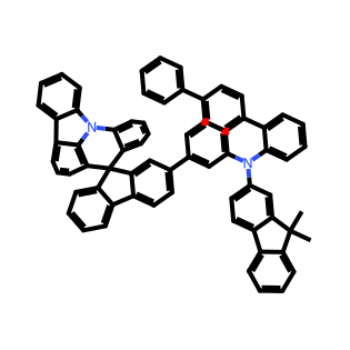 CC1(C)c2ccccc2-c2ccc(N(c3cccc(-c4ccc5c(c4)C4(c6ccccc6-5)c5ccccc5-n5c6ccccc6c6cccc4c65)c3)c3ccccc3-c3ccc(-c4ccccc4)cc3)cc21